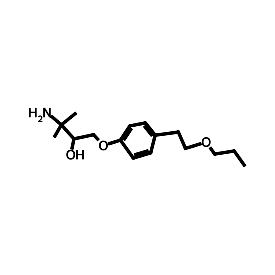 CCCOCCc1ccc(OCC(O)C(C)(C)N)cc1